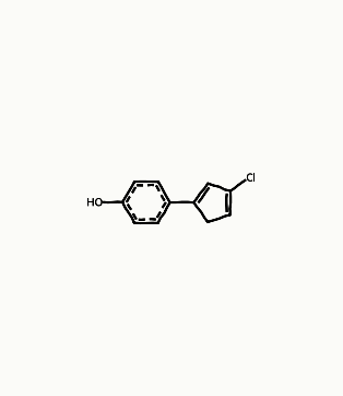 Oc1ccc(C2=CC(Cl)=CC2)cc1